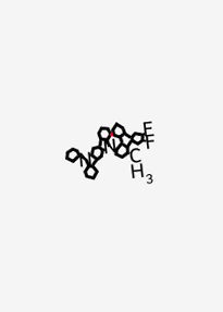 Cc1ccc(-n2c3ccccc3c3cc4c(cc32)c2ccccc2n4-c2ccccc2)c2c3ccccc3c3cc(F)c(F)cc3c12